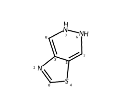 [c]1nc2c(s1)=CNNC=2